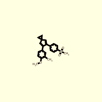 COc1ccc(C2=CC3(C=C2c2ccc(S(C)(=O)=O)cc2)CC3)cc1C